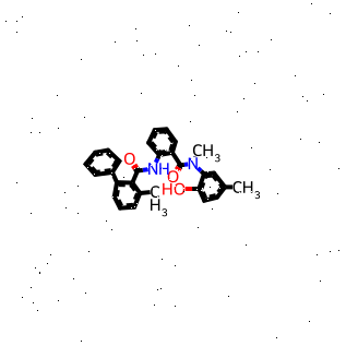 Cc1ccc(O)c(N(C)C(=O)c2ccccc2NC(=O)c2c(C)cccc2-c2ccccc2)c1